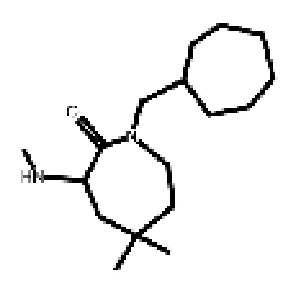 CNC1CC(C)(C)CCN(CC2CCCCCC2)C1=O